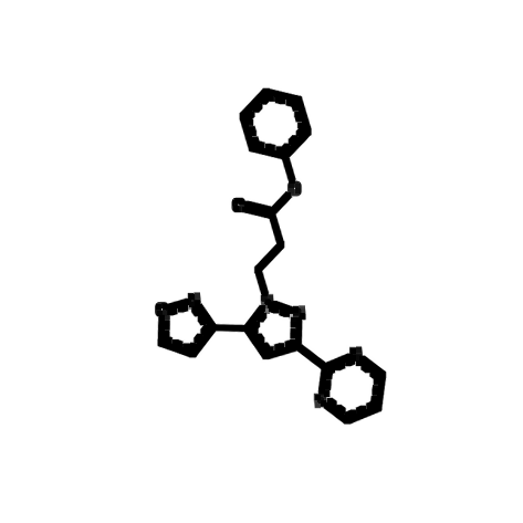 O=C(CCn1nc(-c2ncccn2)cc1-c1ccon1)Oc1ccccc1